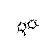 Fc1ncccn1.c1ccncc1